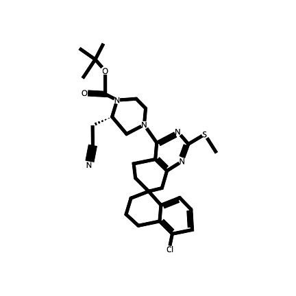 CSc1nc2c(c(N3CCN(C(=O)OC(C)(C)C)[C@@H](CC#N)C3)n1)CCC1(CCCc3c(Cl)cccc31)C2